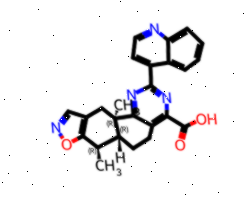 C[C@H]1c2oncc2C[C@@]2(C)c3nc(-c4ccnc5ccccc45)nc(C(=O)O)c3CC[C@H]12